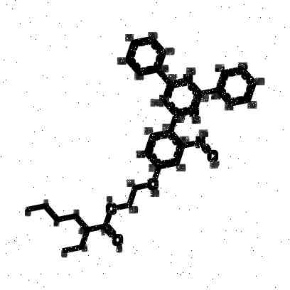 CCCCC(CC)C(=O)OCCOc1ccc(-c2nc(-c3ccccc3)nc(-c3ccccc3)n2)c(N=O)c1